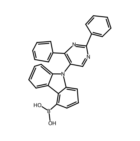 OB(O)c1cccc2c1c1ccccc1n2-c1cnc(-c2ccccc2)nc1-c1ccccc1